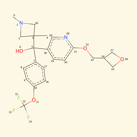 CN1CC(C)(C(O)(c2ccc(OC(F)(F)F)cc2)c2ccc(OCC3COC3)nc2)C1